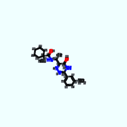 CCCCC1(C(=O)NC(CC)c2nnc(-c3cccc([N+](=O)[O-])c3)[nH]c2=O)CCCCC1